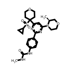 CNC(=O)Nc1ccc(-c2nc(N3CCOC[C@@H]3C)cc(C3(S(=O)(=O)C4CC4)CCOCC3)n2)cc1